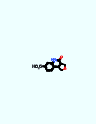 O=C(O)c1ccc2c3c(c(=O)[nH]c2c1)COC3